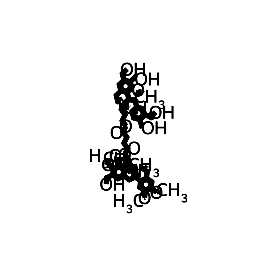 COc1cc2c(cc1OC)C(Cc1cc(CO)c(OC)c(OC)c1)[N+](C)(CCCOC(=O)CCC(=O)OCCC[N+]1(C)CCc3cc(CO)c(CO)c(OC)c3C1Cc1ccc(CO)c(CO)c1)CC2